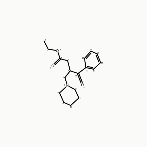 CCOC(=O)CC(CN1CCCCC1)C(=O)c1ccccc1